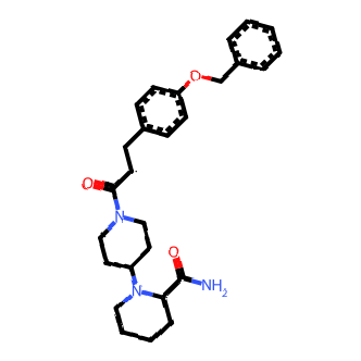 NC(=O)C1CCCCN1C1CCN(C(=O)[CH]Cc2ccc(OCc3ccccc3)cc2)CC1